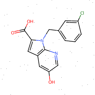 O=C(O)c1cc2cc(O)cnc2n1Cc1cccc(Cl)c1